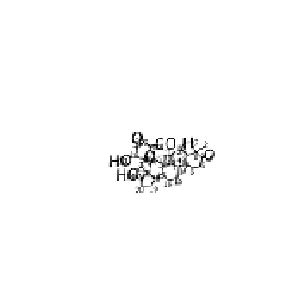 CC1(C)C(=O)CCC2(C)C1CCC1(C)C2CCC2C3CCCC3(C(O)C3OC(C(=O)O)C4OC4C3O)CC[C@]21C